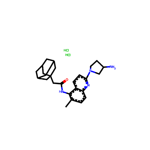 Cc1ccc2nc(N3CCC(N)C3)ccc2c1NC(=O)CC12CC3CC(CC(C3)C1)C2.Cl.Cl